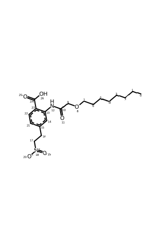 CCCCCCCCOCC(=O)Nc1cc(CC[N+](=O)[O-])ccc1C(=O)O